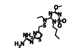 CCCCN1C(N(CC)SCc2csc(N=C(N)N)n2)=NC(OC)=NS1(=O)=O